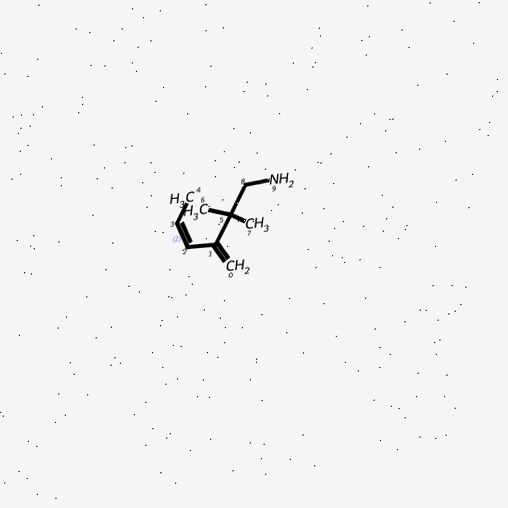 C=C(/C=C\C)C(C)(C)CN